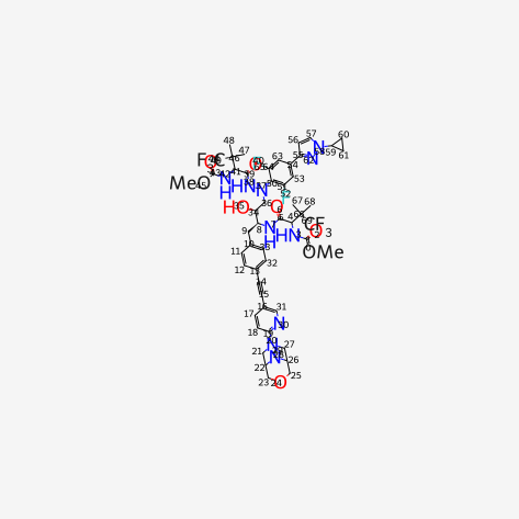 COC(=O)NC(C(=O)N[C@@H](Cc1ccc(C#Cc2ccc(N3CC4COCC(C3)N4C)nc2)cc1)[C@@H](O)CN(NC(=O)[C@@H](NC(=O)OC)C(C)(C)C(F)(F)F)c1c(F)cc(-c2ccn(C3CC3)n2)cc1F)C(C)(C)C(F)(F)F